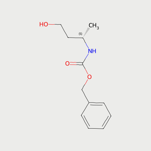 C[C@@H](CCO)NC(=O)OCc1ccccc1